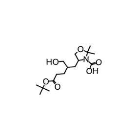 CC(C)(C)OC(=O)CCC(CO)CC1COC(C)(C)N1C(=O)O